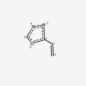 C=Cc1nn[c]o1